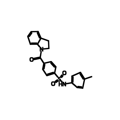 Cc1ccc(NS(=O)(=O)c2ccc(C(=O)N3CCc4ccccc43)cc2)cc1